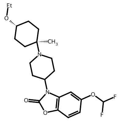 CCO[C@H]1CC[C@](C)(N2CCC(n3c(=O)oc4ccc(OC(F)F)cc43)CC2)CC1